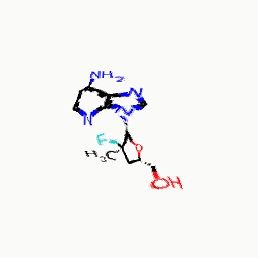 C[C@@]1(F)C[C@@H](CO)O[C@H]1n1cnc2c(N)ccnc21